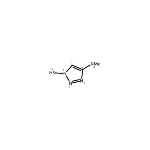 CNc1cn(S)nn1